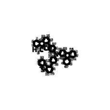 CC1(C)c2ccccc2-c2cccc(-c3ccc(N(c4ccc(-c5cccc6sc7ccccc7c56)cc4)c4ccc5c(c4)C4(CCCCC4)c4ccccc4-5)cc3)c21